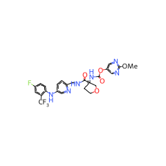 COc1ncc(OC(=O)N[C@@]2(C(=O)NCc3ccc(Nc4ccc(F)cc4C(F)(F)F)cn3)CCOC2)cn1